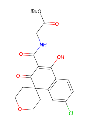 CC(C)COC(=O)CNC(=O)C1=C(O)c2ccc(Cl)cc2C2(CCOCC2)C1=O